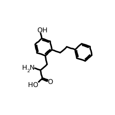 NC(Cc1ccc(O)cc1CCc1ccccc1)C(=O)O